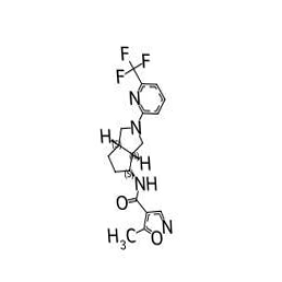 Cc1oncc1C(=O)N[C@H]1CC[C@@H]2CN(c3cccc(C(F)(F)F)n3)C[C@@H]21